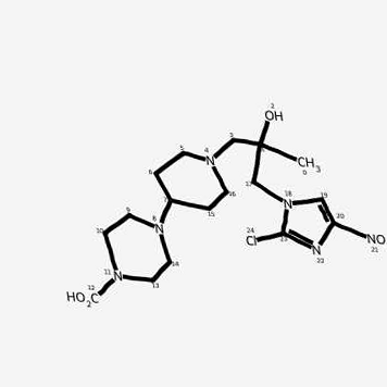 CC(O)(CN1CCC(N2CCN(C(=O)O)CC2)CC1)Cn1cc([N+](=O)[O-])nc1Cl